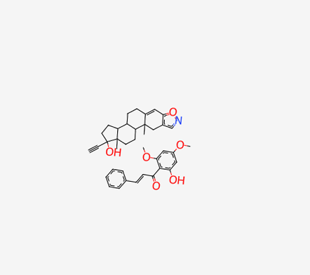 C#CC1(O)CCC2C3CCC4=Cc5oncc5CC4(C)C3CCC21C.COc1cc(O)c(C(=O)C=Cc2ccccc2)c(OC)c1